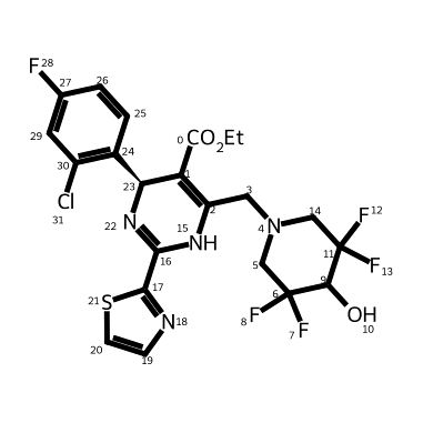 CCOC(=O)C1=C(CN2CC(F)(F)C(O)C(F)(F)C2)NC(c2nccs2)=N[C@H]1c1ccc(F)cc1Cl